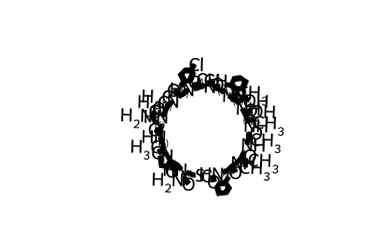 CC(C)C1NC(=O)[C@H](Cc2ccccc2)NC(=O)CSC[C@@H](C(N)=O)NC(=O)[C@@H]2CCCN2C(=O)[C@H](C)NC(=O)[C@H](CC(N)=O)NC(=O)[C@H](C)N(C)C(=O)[C@H](Cc2ccc(Cl)cc2)NC(=O)[C@H](C)N(C)C(=O)[C@H](Cc2ccccc2)NC(=O)[C@H]([C@@H](C)O)NC(=O)[C@H]([C@@H](C)O)NC(=O)[C@H](C)NC1=O